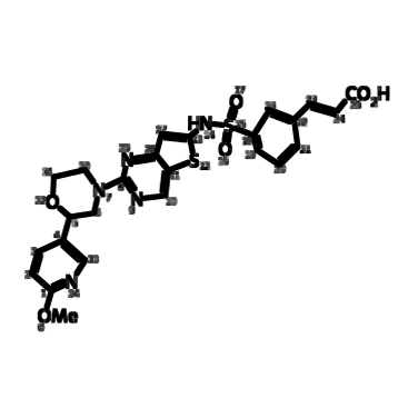 COc1ccc(C2CN(c3ncc4sc(NS(=O)(=O)c5cccc(C=CC(=O)O)c5)cc4n3)CCO2)cn1